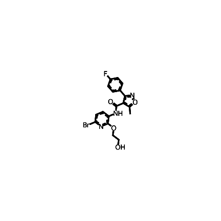 Cc1onc(-c2ccc(F)cc2)c1C(=O)Nc1ccc(Br)nc1OCCO